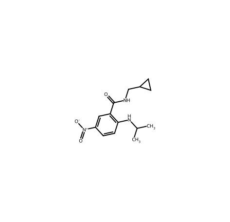 CC(C)Nc1ccc([N+](=O)[O-])cc1C(=O)NCC1CC1